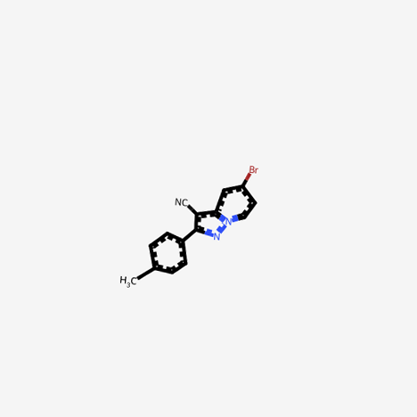 Cc1ccc(-c2nn3ccc(Br)cc3c2C#N)cc1